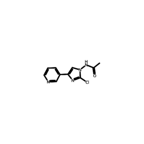 CC(=O)Nn1cc(-c2cccnc2)nc1Cl